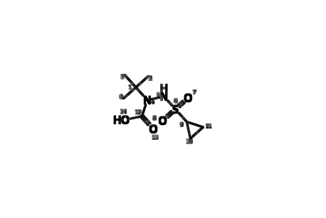 CC(C)(C)N(NS(=O)(=O)C1CC1)C(=O)O